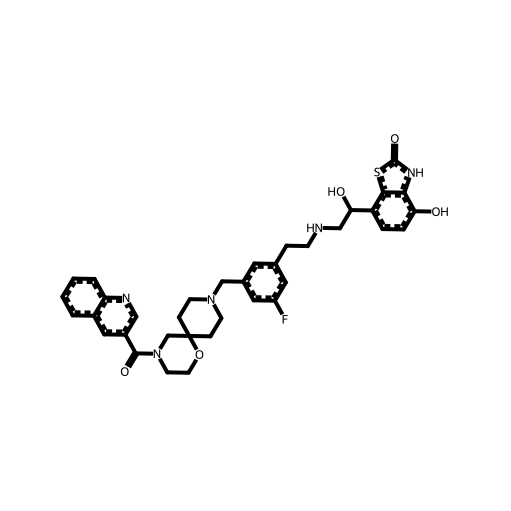 O=C(c1cnc2ccccc2c1)N1CCOC2(CCN(Cc3cc(F)cc(CCNCC(O)c4ccc(O)c5[nH]c(=O)sc45)c3)CC2)C1